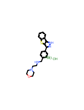 Cl.Cl.Cl.c1ccc2c(c1)sc1c(-c3ccc(CNCCN4CCOCC4)cc3)n[nH]c12